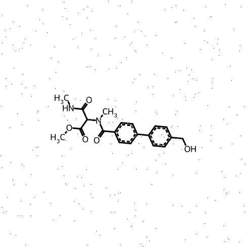 CNC(=O)C(C(=O)OC)N(C)C(=O)c1ccc(-c2ccc(CO)cc2)cc1